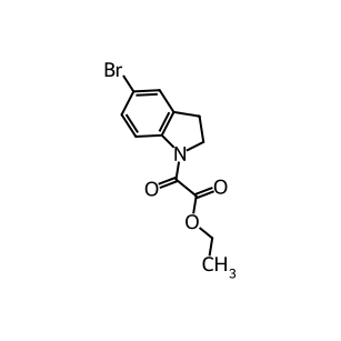 CCOC(=O)C(=O)N1CCc2cc(Br)ccc21